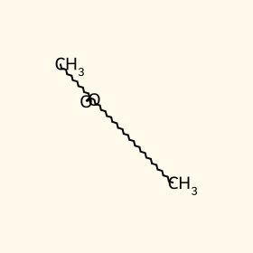 CCCCCCCCCCCCCCCCCCCCCCCCCCCCOC(=O)CCCCCCCCCCC